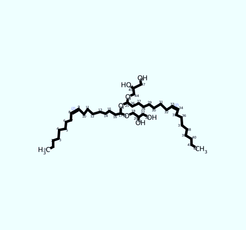 CCCCCCCC/C=C\CCCCCCCC(OCC(O)CO)OC(CCCCCCC/C=C\CCCCCCCC)OCC(O)CO